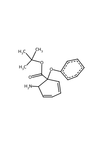 CC(C)(C)OC(=O)C1(Oc2ccccc2)C=CC=CC1N